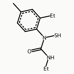 CCNC(=O)N(S)c1ccc(C)cc1CC